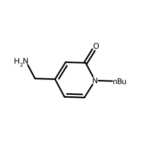 CCCCn1ccc(CN)cc1=O